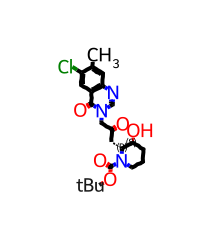 Cc1cc2ncn(CC(=O)C[C@@H]3[C@@H](O)CCCN3C(=O)OC(C)(C)C)c(=O)c2cc1Cl